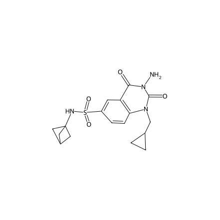 Nn1c(=O)c2cc(S(=O)(=O)NC34CC(C3)C4)ccc2n(CC2CC2)c1=O